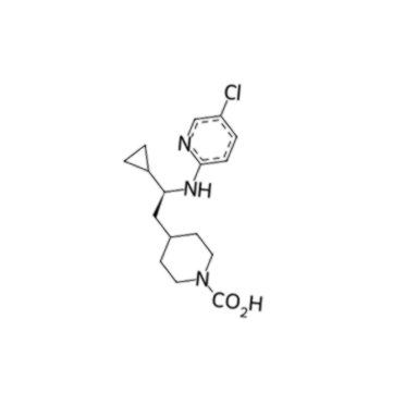 O=C(O)N1CCC(C[C@H](Nc2ccc(Cl)cn2)C2CC2)CC1